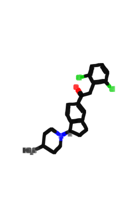 O=C(Cc1c(Cl)cccc1Cl)c1ccc2c(c1)CC[C@H]2N1CCC(C(=O)O)CC1